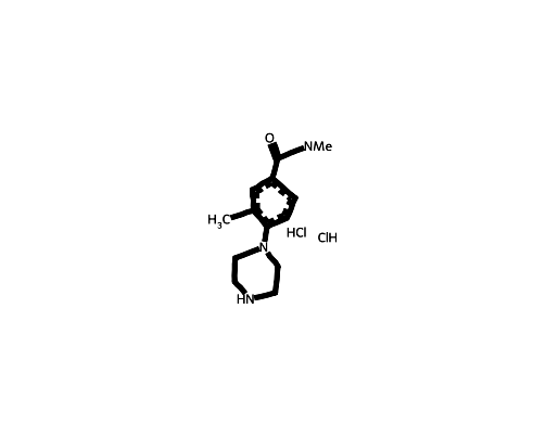 CNC(=O)c1ccc(N2CCNCC2)c(C)c1.Cl.Cl